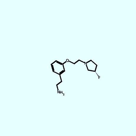 NCCc1cccc(OCCN2CC[C@H](F)C2)c1